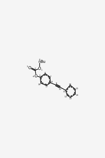 CCCCOC(=O)Oc1ccc(C#Cc2ccccc2)cc1